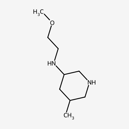 COCCNC1CNCC(C)C1